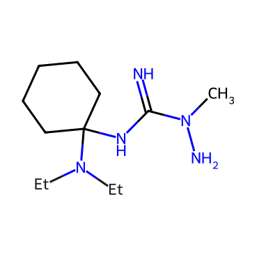 CCN(CC)C1(NC(=N)N(C)N)CCCCC1